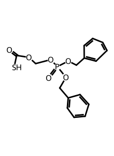 O=C(S)OCOP(=O)(OCc1ccccc1)OCc1ccccc1